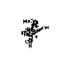 COc1cccc2[nH]c(C(=O)N[C@@H](CC(C)C)C(=O)N[C@@H](C[C@@H]3CCNC3=O)C(C#N)CCSCNCCO)cc12